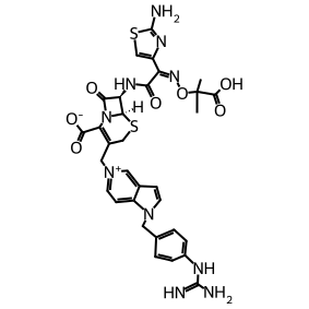 CC(C)(O/N=C(\C(=O)N[C@@H]1C(=O)N2C(C(=O)[O-])=C(C[n+]3ccc4c(ccn4Cc4ccc(NC(=N)N)cc4)c3)CS[C@H]12)c1csc(N)n1)C(=O)O